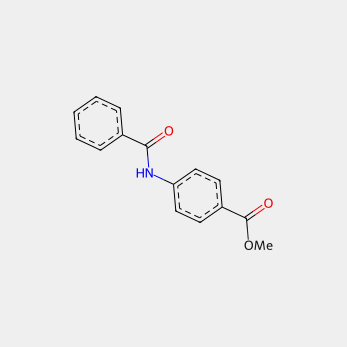 COC(=O)c1ccc(NC(=O)c2ccccc2)cc1